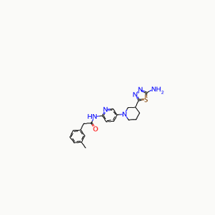 Cc1cccc(CC(=O)Nc2ccc(N3CCCC(c4nnc(N)s4)C3)cn2)c1